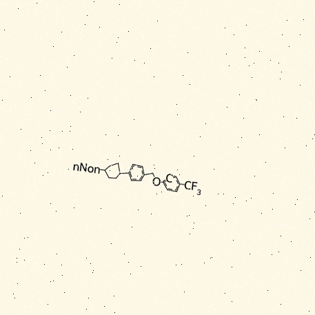 CCCCCCCCCC1CCC(c2ccc(COc3ccc(C(F)(F)F)cc3)cc2)CC1